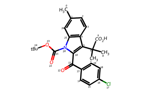 Cc1ccc2c(C(C)(C)C(=O)O)c(C(=O)c3ccc(Cl)cc3)n(C(=O)OC(C)(C)C)c2c1